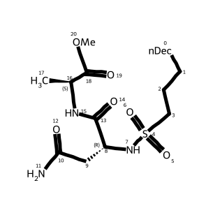 CCCCCCCCCCCCCS(=O)(=O)N[C@H](CC(N)=O)C(=O)N[C@@H](C)C(=O)OC